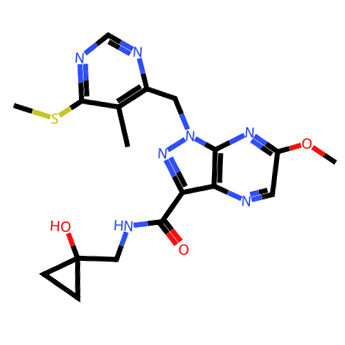 COc1cnc2c(C(=O)NCC3(O)CC3)nn(Cc3ncnc(SC)c3C)c2n1